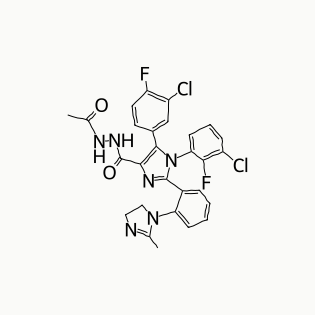 CC(=O)NNC(=O)c1nc(-c2ccccc2N2CCN=C2C)n(-c2cccc(Cl)c2F)c1-c1ccc(F)c(Cl)c1